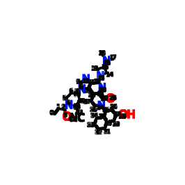 C=CC(=O)N1CC[C@H](n2cnc3c(N4CC(N(C)C)C4)nc4c(=O)n(-c5cc(O)cc6ccccc56)ccc4c32)C[C@H]1CC#N